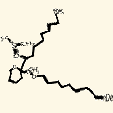 CCCCCCCCCCCCCCCCCCO[SiH2]C1(C(CCCCCCCCCCCCCCCCC)O[SiH](C)C)CCCCO1